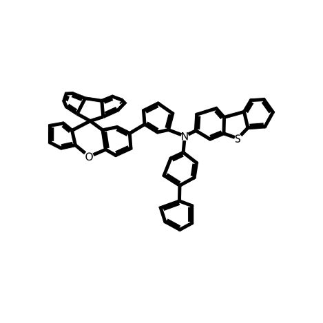 c1ccc(-c2ccc(N(c3cccc(-c4ccc5c(c4)C4(c6ccccc6O5)c5ccccc5-c5ccccc54)c3)c3ccc4c(c3)sc3ccccc34)cc2)cc1